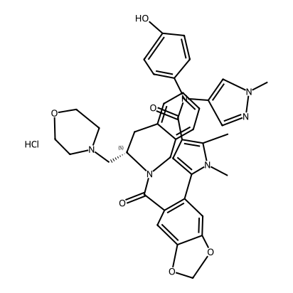 Cc1c(C(=O)N(c2ccc(O)cc2)c2cnn(C)c2)cc(-c2cc3c(cc2C(=O)N2Cc4ccccc4C[C@H]2CN2CCOCC2)OCO3)n1C.Cl